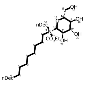 CCCCCCCCCCCCCCCCCC[N+](CCCCCCCCCC)(C(=O)OCC)C1O[C@H](CO)[C@@H](O)[C@H](O)[C@H]1O